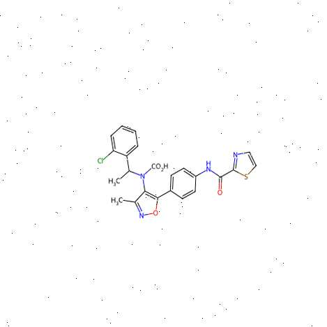 Cc1noc(-c2ccc(NC(=O)c3nccs3)cc2)c1N(C(=O)O)C(C)c1ccccc1Cl